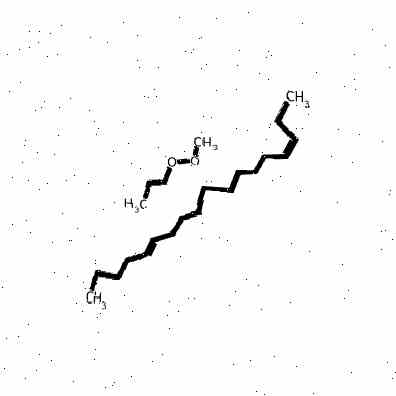 CC/C=C\CCCCCCCC/C=C/CCCC.CCCOOC